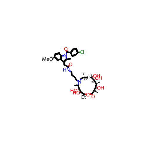 CC[C@H]1OC(=O)[C@H](C)[C@@H](O)[C@H](C)[C@@H](O)[C@](C)(O)C[C@@H](C)CN(CCCCNC(=O)Cc2c(C)n(C(=O)c3ccc(Cl)cc3)c3ccc(OC)cc23)[C@H](C)[C@@H](O)[C@]1(C)O